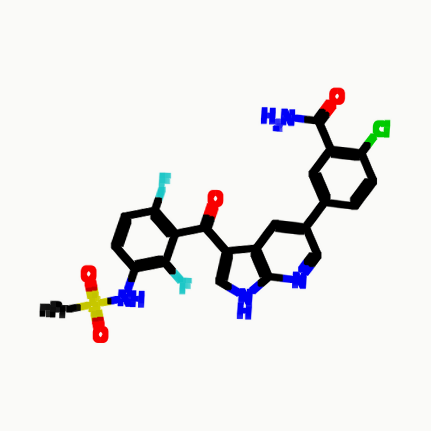 CCCS(=O)(=O)Nc1ccc(F)c(C(=O)c2c[nH]c3ncc(-c4ccc(Cl)c(C(N)=O)c4)cc23)c1F